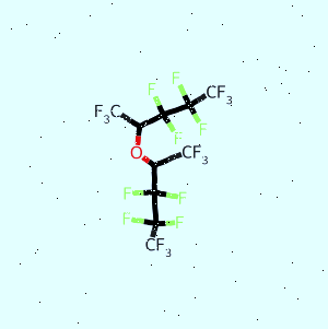 FC(F)(F)C(OC(C(F)(F)F)C(F)(F)C(F)(F)C(F)(F)F)C(F)(F)C(F)(F)C(F)(F)F